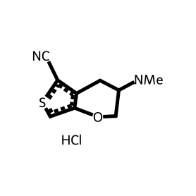 CNC1COc2csc(C#N)c2C1.Cl